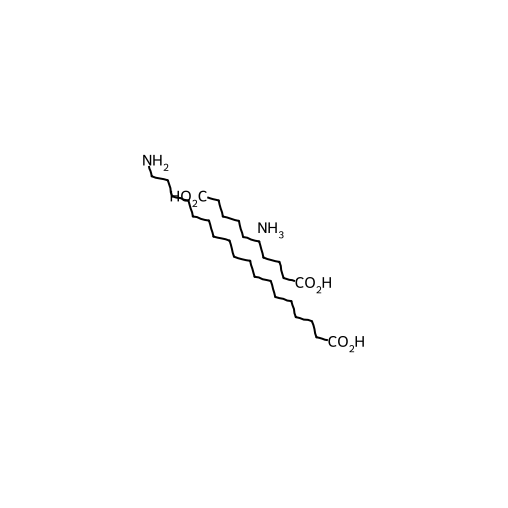 N.NCCCCCCCCCCCCCCCCCC(=O)O.O=C(O)CCCCCCCCC(=O)O